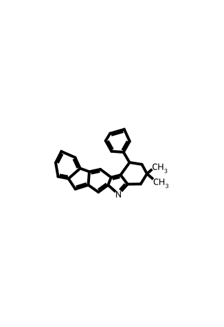 CC1(C)CC2=Nc3cc4c(cc3=C2C(c2ccccc2)C1)-c1ccccc1C=4